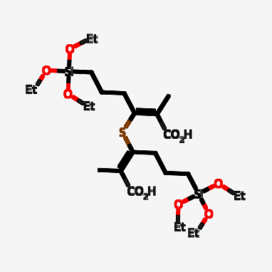 CCO[Si](CCCC(SC(CCC[Si](OCC)(OCC)OCC)=C(C)C(=O)O)=C(C)C(=O)O)(OCC)OCC